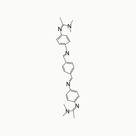 C/C(=N/c1ccc(/N=C/c2ccc(/C=N/c3ccc(/N=C(/C)N(C)C)cc3)cc2)cc1)N(C)C